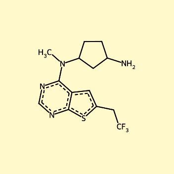 CN(c1ncnc2sc(CC(F)(F)F)cc12)C1CCC(N)C1